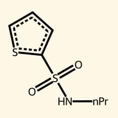 [CH2]CCNS(=O)(=O)c1cccs1